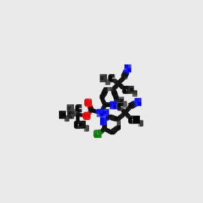 CC(C)(C#N)c1ccc(Cl)nc1.CC(C)(C)OC(=O)Nc1ccc(C(C)(C)C#N)cn1